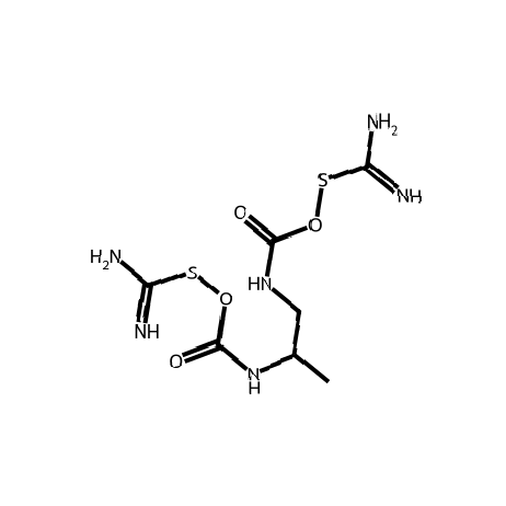 CC(CNC(=O)OSC(=N)N)NC(=O)OSC(=N)N